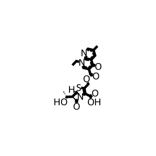 CCn1cc(C(=O)OCC2=C(C(=O)O)N3C(=O)[C@@H]([C@@H](C)O)[C@H]3S2)c(=O)c2cc(C)cnc21